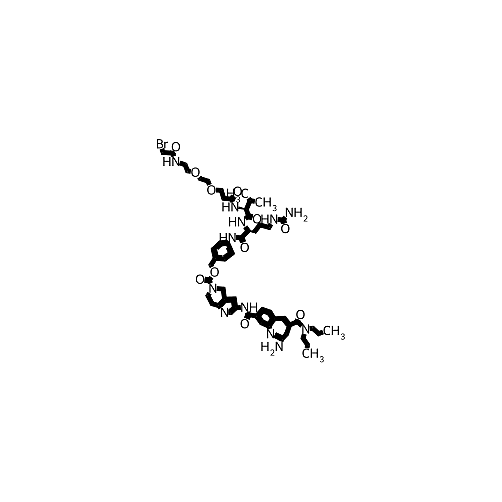 CCCN(CCC)C(=O)C1=Cc2ccc(C(=O)Nc3cnc4c(c3)CN(C(=O)OCc3ccc(NC(=O)[C@H](CCCNC(N)=O)NC(=O)[C@@H](NC(=O)CCOCCOCCNC(=O)CBr)C(C)C)cc3)CC4)cc2N=C(N)C1